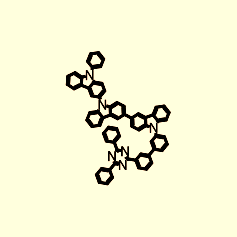 c1ccc(-c2nc(-c3ccccc3)nc(-c3cccc(-c4cccc(-n5c6ccccc6c6cc(-c7ccc8c(c7)c7ccccc7n8-c7ccc8c(c7)c7ccccc7n8-c7ccccc7)ccc65)c4)c3)n2)cc1